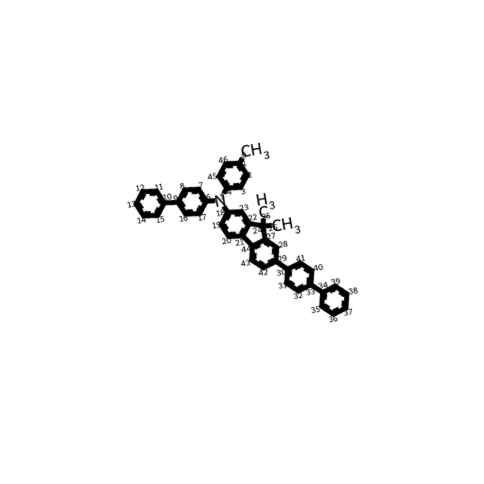 Cc1ccc(N(c2ccc(-c3ccccc3)cc2)c2ccc3c(c2)C(C)(C)c2cc(-c4ccc(-c5ccccc5)cc4)ccc2-3)cc1